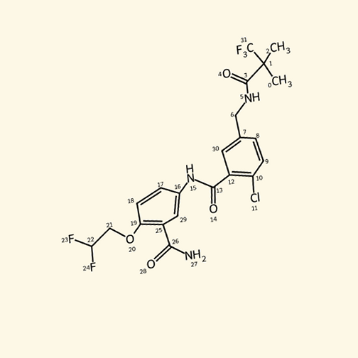 CC(C)(C(=O)NCc1ccc(Cl)c(C(=O)Nc2ccc(OCC(F)F)c(C(N)=O)c2)c1)C(F)(F)F